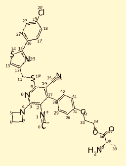 [C-]#[N+]c1c(N2CCC2)nc(SCc2csc(-c3ccc(Cl)cc3)n2)c(C#N)c1-c1ccc(OCCOC(=O)[C@H](C)N)cc1